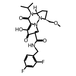 COC[C@@H]1CC[C@H]2N(C(C)C)C(=O)c3c(O)c(=O)c(C(=O)NCc4ccc(F)cc4F)cn3N12